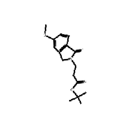 COc1ccc2c(c1)CN(CCC(=O)OC(C)(C)C)C2=O